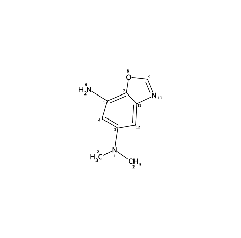 CN(C)c1cc(N)c2ocnc2c1